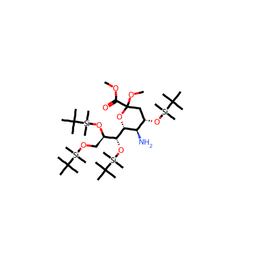 COC(=O)C1(OC)C[C@H](O[Si](C)(C)C(C)(C)C)[C@@H](N)[C@H]([C@H](O[Si](C)(C)C(C)(C)C)[C@@H](CO[Si](C)(C)C(C)(C)C)O[Si](C)(C)C(C)(C)C)O1